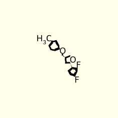 CC1=CCC=C(OC[C@@H]2CO[C@H](c3ccc(F)cc3F)C2)C=C1